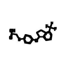 O=C(O)CSc1ccc(OC2CCc3c2cccc3C(F)(F)F)cc1